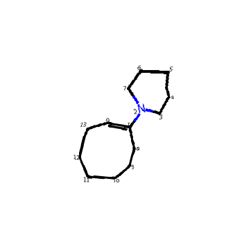 C1=C(/N2CCCCC2)CCCCCC/1